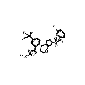 Cc1nc(-c2cc(C(F)(F)F)ccc2[C@H]2CCOc3cc(S(=O)(=O)Nc4cccc(F)n4)ccc32)co1